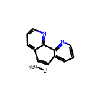 [Li][CH2]CCC.c1cnc2c(c1)ccc1cccnc12